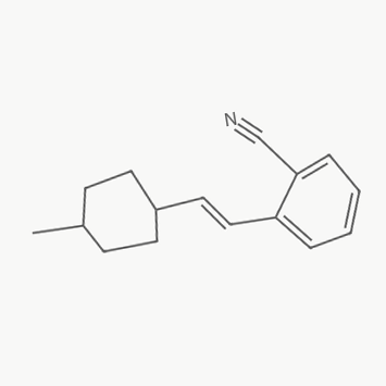 CC1CCC(/C=C/c2ccccc2C#N)CC1